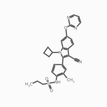 CCCS(=O)(=O)Nc1ccc(-c2c(C#N)c3ccc(Oc4ncccn4)cc3n2C2CCC2)cc1C